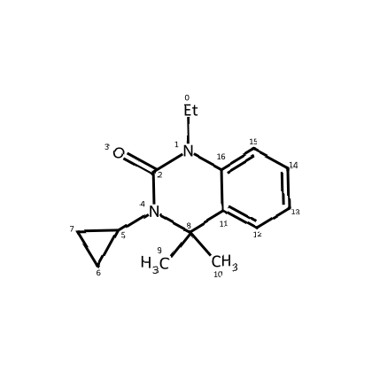 CCN1C(=O)N(C2CC2)C(C)(C)c2ccccc21